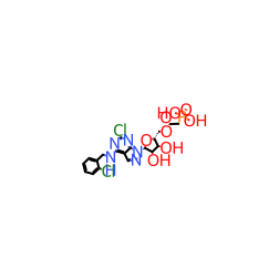 O=C(CP(=O)(O)O)OC[C@H]1O[C@@H](n2ncc3c(NCc4ccccc4Cl)nc(Cl)nc32)[C@H](O)[C@@H]1O